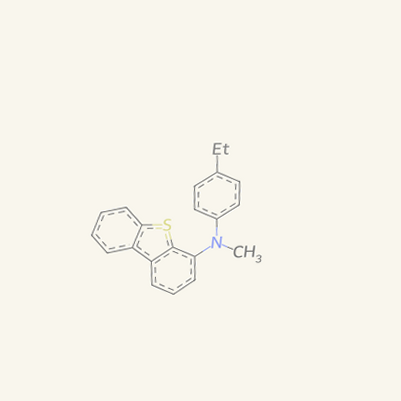 CCc1ccc(N(C)c2cccc3c2sc2ccccc23)cc1